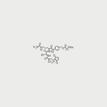 CSC(C)(C)C(=O)OCc1ccc(NC(=O)[C@H](CCCNC(N)=O)NC(=O)[C@@H](NC(=O)[C@@H](CCN2C(=O)C=CC2=O)S(=O)(=O)O)C(C)C)cc1